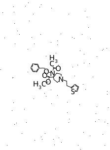 COC(=O)C1(N(OCc2ccccc2)C(C)=O)CCN(CCc2cccs2)CC1